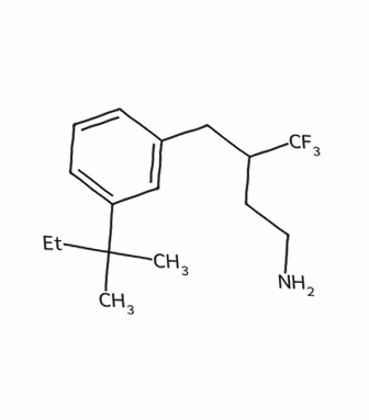 CCC(C)(C)c1cccc(CC(CCN)C(F)(F)F)c1